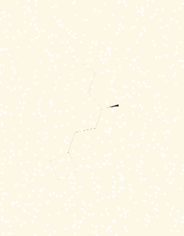 C=CC[C@@H](C)CCC1CCC1